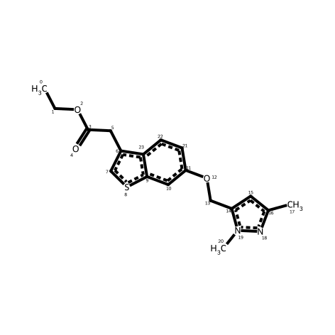 CCOC(=O)Cc1csc2cc(OCc3cc(C)nn3C)ccc12